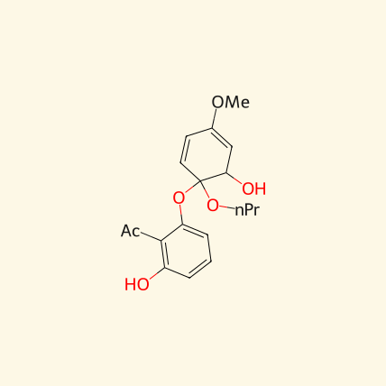 CCCOC1(Oc2cccc(O)c2C(C)=O)C=CC(OC)=CC1O